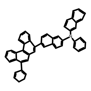 C1=CC(c2cc3cc(-c4ccc5cc(N(c6ccccc6)c6ccc7ccccc7c6)ccc5c4)c4ccccc4c3c3ccccc23)=CCC1